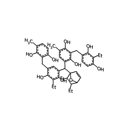 CCc1c(O)ccc(Cc2c(O)c(C)cc(C(c3cc(Cc4c(O)ccc(C)c4O)c(O)c(CC)c3O)C34C=CC(O3)C(CC)C4CC)c2O)c1O